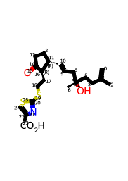 C=C(C)CC[C@](C)(O)CC=C[C@H]1CCC(=O)[C@@H]1CCSc1nc(C(=O)O)cs1